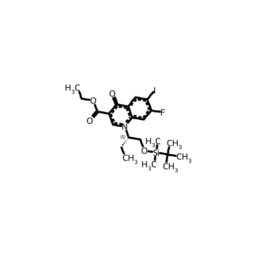 CCOC(=O)c1cn([C@@H](CC)CO[Si](C)(C)C(C)(C)C)c2cc(F)c(I)cc2c1=O